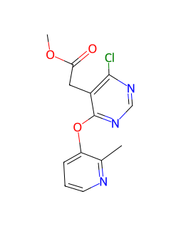 COC(=O)Cc1c(Cl)ncnc1Oc1cccnc1C